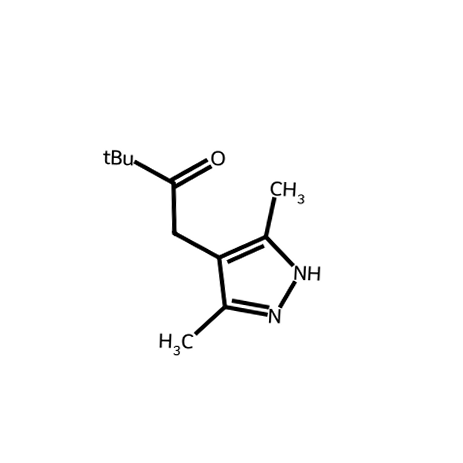 Cc1n[nH]c(C)c1CC(=O)C(C)(C)C